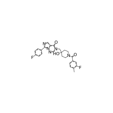 Cc1ccc(C(=O)N2CCC(O)(Cn3cnn4c(-c5ccc(F)cc5)ncc4c3=O)CC2)cc1F